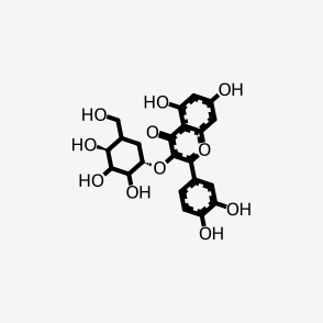 O=c1c(O[C@H]2CC(CO)[C@H](O)C(O)C2O)c(-c2ccc(O)c(O)c2)oc2cc(O)cc(O)c12